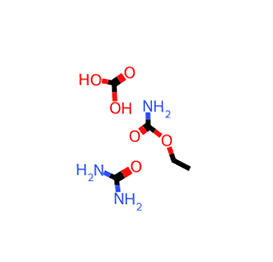 CCOC(N)=O.NC(N)=O.O=C(O)O